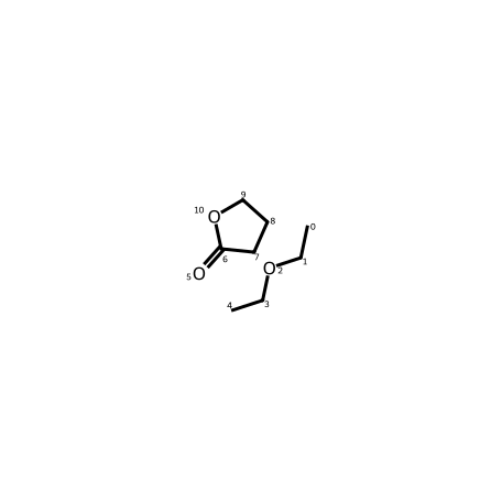 CCOCC.O=C1CCCO1